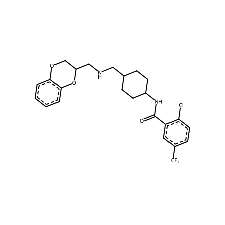 O=C(NC1CCC(CNCC2COc3ccccc3O2)CC1)c1cc(C(F)(F)F)ccc1Cl